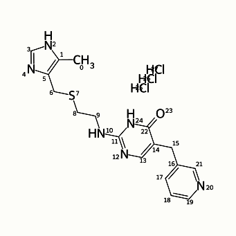 Cc1[nH]cnc1CSCCNc1ncc(Cc2cccnc2)c(=O)[nH]1.Cl.Cl.Cl